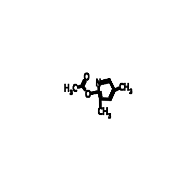 CC(=O)Oc1ncc(C)cc1C